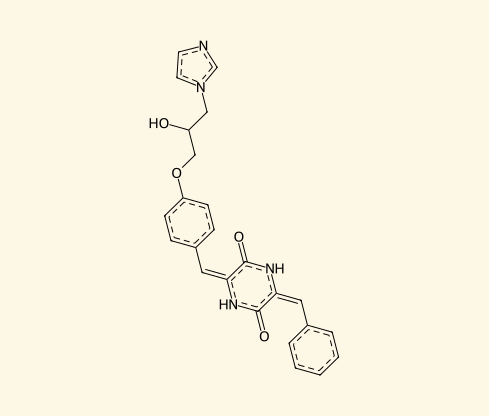 O=c1[nH]c(=Cc2ccc(OCC(O)Cn3ccnc3)cc2)c(=O)[nH]c1=Cc1ccccc1